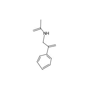 C=C(C)NCC(=C)c1ccccc1